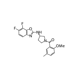 COc1ccc(C)cc1C(=O)N1CC[C@@H](Nc2nc3ccc(F)c(F)c3o2)C1